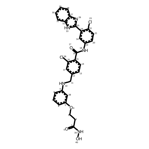 O=C(CCOc1cccc(NCc2ccc(C(=O)Nc3ccc(Cl)c(-c4nc5ccccc5[nH]4)c3)c(Cl)c2)c1)NO